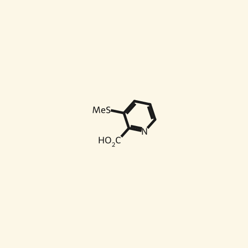 CSc1cccnc1C(=O)O